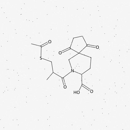 CC(=O)SCC(C)C(=O)N1CC2(CCC1C(=O)O)C(=O)CCC2=O